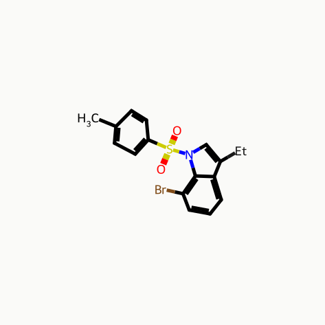 [CH2]Cc1cn(S(=O)(=O)c2ccc(C)cc2)c2c(Br)cccc12